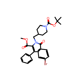 COC(=O)c1c(-c2ccccc2)c2cc(Br)ccc2c(=O)n1CC1CCN(C(=O)OC(C)(C)C)CC1